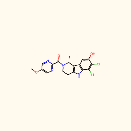 COc1cnc(C(=O)N2CCc3[nH]c4c(Cl)c(Cl)c(O)cc4c3[C@H]2C)nc1